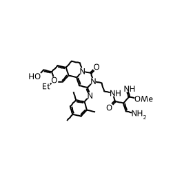 C\C=C1/C(=C\C(=C\O)OCC)CCn2c1c/c(=N\c1c(C)cc(C)cc1C)n(CCNC(=O)/C(=C/N)C(=N)OC)c2=O